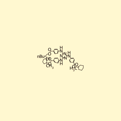 CCCCC(CC)COC(=O)c1ccc(Nc2nc(Nc3ccc(C(=O)OC4(C)CCCCC4)cc3)nc(Nc3ccc(C(=O)OC4(C)CCCCC4)cc3)n2)cc1